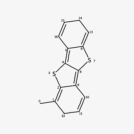 CC1=c2sc3c4c(sc3c2C=CC1)=CCC=C4